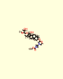 CCO[C@@H]([C@H]1C[C@@H](C)[C@H]2[C@H](O1)[C@H](O)[C@@]1(C)[C@@H]3CC[C@H]4C(C)(C)[C@@H](O[C@H]5CN(C6CN(C(=O)OC(C)(C)C)C6)CCO5)CCC45C[C@@]35CC[C@]21C)C(C)(C)O